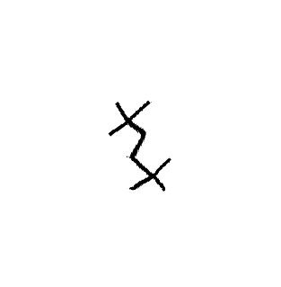 CC(C)(C)[CH]CC(C)(C)C